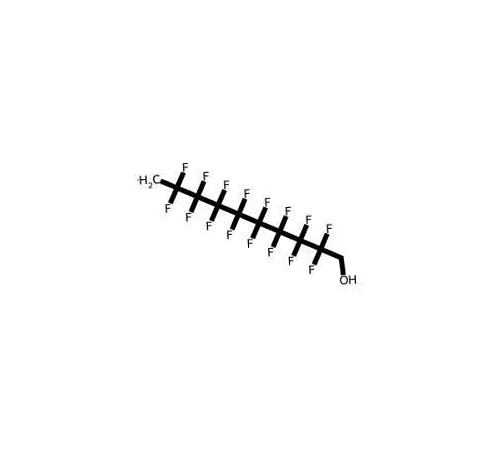 [CH2]C(F)(F)C(F)(F)C(F)(F)C(F)(F)C(F)(F)C(F)(F)C(F)(F)C(F)(F)CO